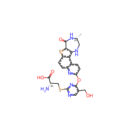 C[C@@H]1CNc2c(sc3ccc4nc(Oc5nc(SC[C@H](N)C(=O)O)ncc5CO)ccc4c23)C(=O)N1